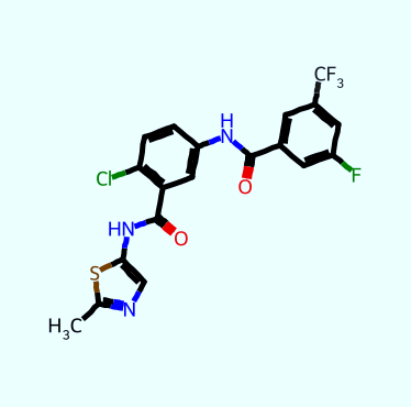 Cc1ncc(NC(=O)c2cc(NC(=O)c3cc(F)cc(C(F)(F)F)c3)ccc2Cl)s1